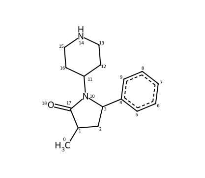 CC1CC(c2ccccc2)N(C2CCNCC2)C1=O